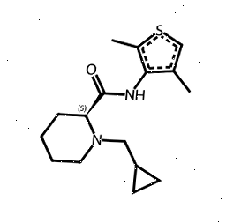 Cc1csc(C)c1NC(=O)[C@@H]1CCCCN1CC1CC1